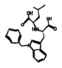 CC(C)C[C@@H](N[C@@H](Cc1cn(Cc2ccccc2)c2ccccc12)C(=O)O)C(=O)O